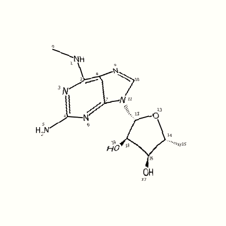 CNc1nc(N)nc2c1ncn2[C@@H]1O[C@H](C)[C@@H](O)[C@H]1O